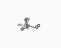 CC(C)(C)OC(=O)CO[C@@H](C(=O)O)[C@@H](OCCCCCc1ccc2ccccc2c1)C(=O)OCc1ccccc1